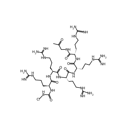 CC(=O)CNC(=O)[C@H](CCCNC(=N)N)NC(=O)[C@H](CCCNC(=N)N)NC(=O)[C@H](CCCNC(=N)N)NC(=O)[C@H](CCCNC(=N)N)NC(=O)[C@H](CCCNC(=N)N)NC(=O)BCl